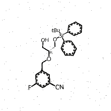 CC(C)(C)[Si](OC[C@@H](CO)OCc1cc(F)cc(C#N)c1)(c1ccccc1)c1ccccc1